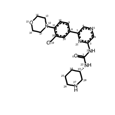 O=C(Nc1cncc(-c2ccc(N3CCOCC3)c(Cl)c2)n1)N[C@H]1CCCNC1